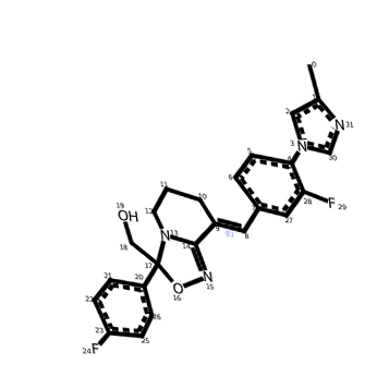 Cc1cn(-c2ccc(/C=C3\CCCN4C3=NOC4(CO)c3ccc(F)cc3)cc2F)cn1